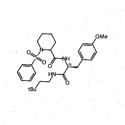 COc1ccc(C[C@H](NC(=O)C2CCCCN2S(=O)(=O)c2ccccc2)C(=O)NCCC(C)(C)C)cc1